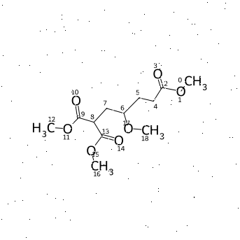 COC(=O)CCC(CC(C(=O)OC)C(=O)OC)OC